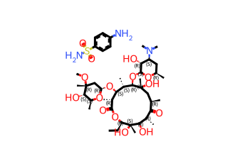 CC[C@H]1OC(=O)[C@H](C)[C@@H](O[C@H]2C[C@@](C)(OC)[C@@H](O)[C@H](C)O2)[C@H](C)[C@@H](O[C@@H]2O[C@H](C)C[C@H](N(C)C)[C@H]2O)[C@](C)(O)C[C@@H](C)C(=O)[C@H](C)[C@@H](O)[C@]1(C)O.Nc1ccc(S(N)(=O)=O)cc1